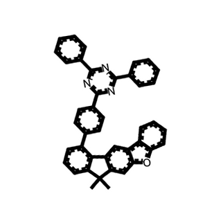 CC1(C)c2cc3oc4ccccc4c3cc2-c2c(-c3ccc(-c4nc(-c5ccccc5)nc(-c5ccccc5)n4)cc3)cccc21